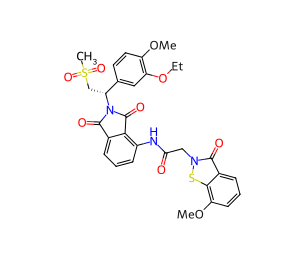 CCOc1cc([C@@H](CS(C)(=O)=O)N2C(=O)c3cccc(NC(=O)Cn4sc5c(OC)cccc5c4=O)c3C2=O)ccc1OC